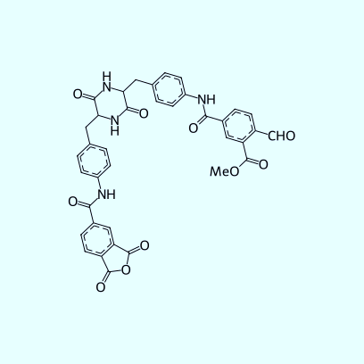 COC(=O)c1cc(C(=O)Nc2ccc(CC3NC(=O)C(Cc4ccc(NC(=O)c5ccc6c(c5)C(=O)OC6=O)cc4)NC3=O)cc2)ccc1C=O